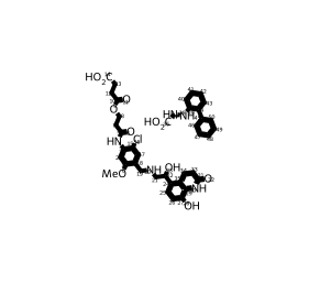 COc1cc(NC(=O)CCOC(=O)CCC(=O)O)c(Cl)cc1CNCC(O)c1ccc(O)c2[nH]c(=O)ccc12.O=C(O)NNc1ccccc1-c1ccccc1